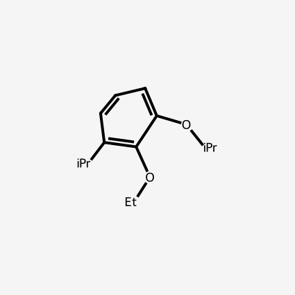 [CH2]C(C)c1cccc(OC(C)C)c1OCC